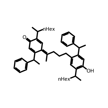 CCCCCCC(C)C1=CC(=C(C)CCCc2cc(C(C)CCCCCC)c(O)cc2C(C)c2ccccc2)C(C(C)c2ccccc2)=CC1=O